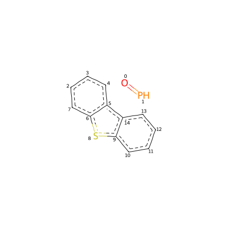 O=P.c1ccc2c(c1)sc1ccccc12